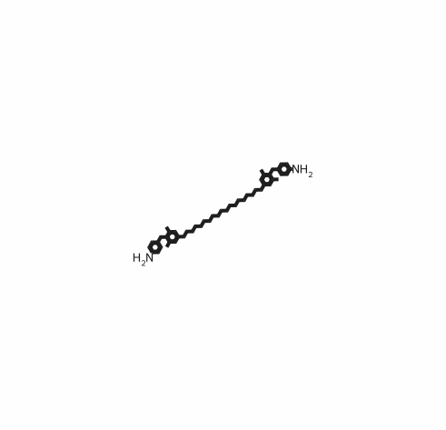 Cc1cc(CCCCCCCCCCCCCCCCCCCc2cc(C)c(Cc3ccc(N)cc3)c(C)c2)cc(C)c1Cc1ccc(N)cc1